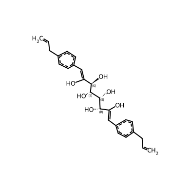 C=CCc1ccc(C=C(O)[C@@H](O)[C@@H](O)[C@H](O)[C@@H](O)C(O)=Cc2ccc(CC=C)cc2)cc1